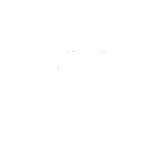 COc1ccc(-c2cccc(C(C)=O)c2)c(OC)c1OC.Cl